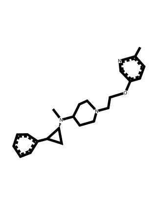 Cc1ccc(OCCN2CCC(N(C)[C@@H]3CC3c3ccccc3)CC2)cn1